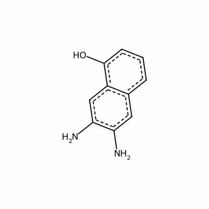 Nc1cc2cccc(O)c2cc1N